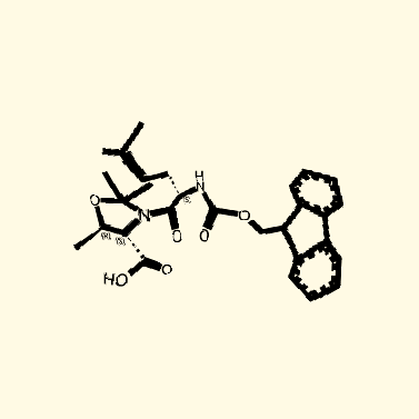 CC(C)=CC[C@H](NC(=O)OCC1c2ccccc2-c2ccccc21)C(=O)N1[C@H](C(=O)O)[C@@H](C)OC1(C)C